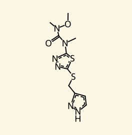 CON(C)C(=O)N(C)c1nnc(SCc2cc[nH]n2)s1